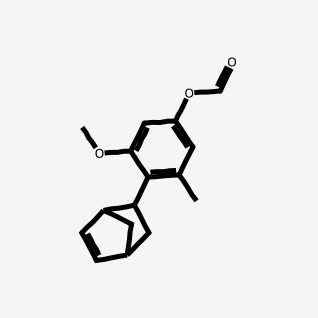 COc1cc(OC=O)cc(C)c1C1CC2C=CC1C2